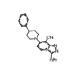 CCCc1nnc2c(C#N)c(N3CCC(c4ccccc4)CC3)ccn12